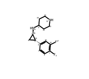 Fc1ccc([C@@H]2C[C@H]2NC2CCNCC2)cc1F